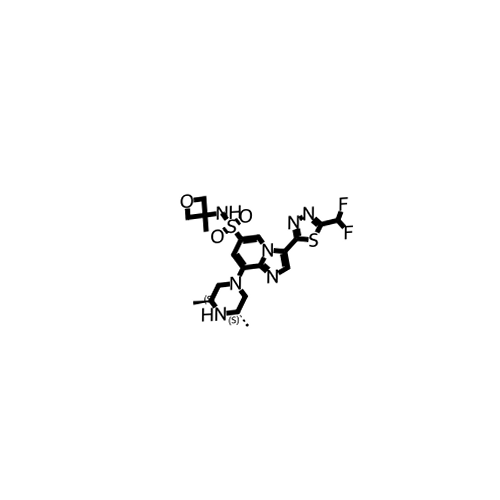 C[C@H]1CN(c2cc(S(=O)(=O)NC3(C)COC3)cn3c(-c4nnc(C(F)F)s4)cnc23)C[C@H](C)N1